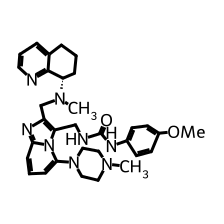 COc1ccc(NC(=O)NCc2c(CN(C)[C@H]3CCCc4cccnc43)nc3cccc(N4CCN(C)CC4)n23)cc1